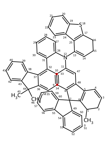 CC1CC=CC2=C1C1(c3ccc(N(C4=CCCc5sc6ccccc6c54)c4ccccc4-c4cccc5c4-c4ccccc4C5(C)C)cc32)c2ccccc2-c2ccccc21